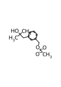 CC(C)(O)Cc1cccc(COS(C)(=O)=O)c1